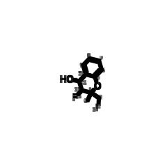 CC1(CF)Oc2ccccc2C(O)C1F